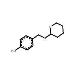 Oc1ccc(COC2CCCCO2)cc1